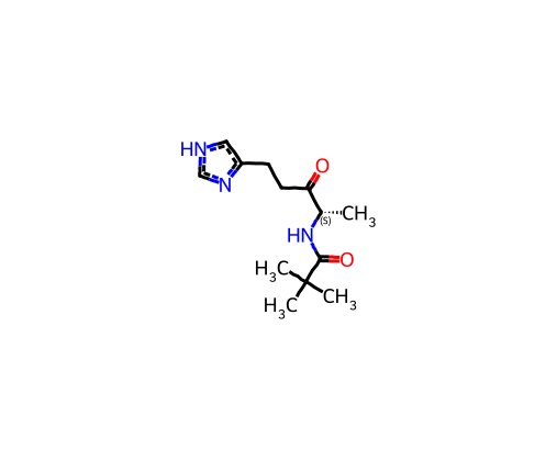 C[C@H](NC(=O)C(C)(C)C)C(=O)CCc1c[nH]cn1